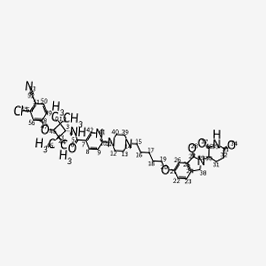 CC1(C)[C@H](NC(=O)c2ccc(N3CCN(CCCCCOc4ccc5c(c4)C(=O)N(C4CCC(=O)NC4=O)C5)CC3)nc2)C(C)(C)[C@H]1Oc1ccc(C#N)c(Cl)c1